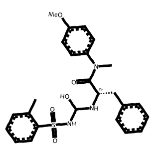 COc1ccc(N(C)C(=O)[C@H](Cc2ccccc2)NC(O)NS(=O)(=O)c2ccccc2C)cc1